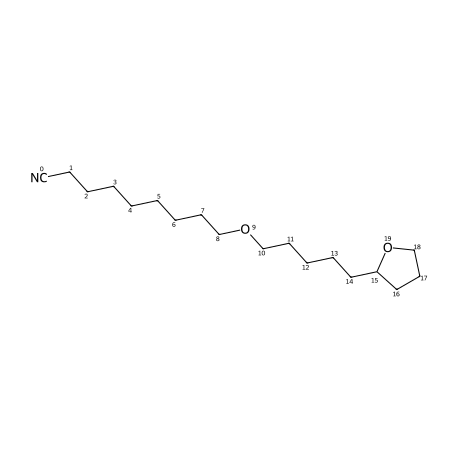 N#CCCCCCCCCOCCCCCC1CCCO1